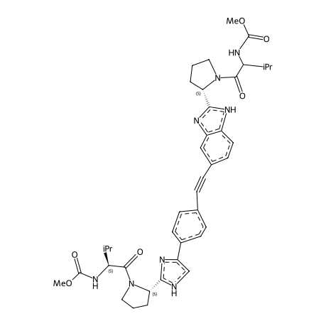 COC(=O)NC(C(=O)N1CCC[C@H]1c1nc2cc(C#Cc3ccc(-c4c[nH]c([C@@H]5CCCN5C(=O)[C@@H](NC(=O)OC)C(C)C)n4)cc3)ccc2[nH]1)C(C)C